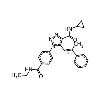 CCNC(=O)c1ccc(-n2nnc(C(=O)NC3CC3)c2/C=C(\C)c2ccccc2)cc1